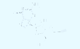 C#CCO[C@H]1[C@@H](O)[C@H](n2cnc3c(=O)[nH]c(N)nc32)O[C@@H]1CO